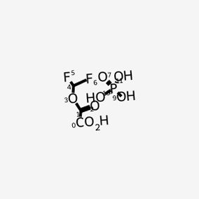 O=C(O)C(=O)OC(F)F.O=P(O)(O)O